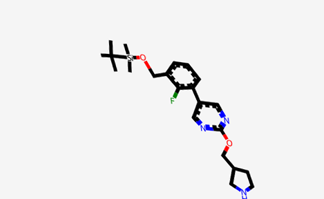 CC(C)(C)[Si](C)(C)OCc1cccc(-c2cnc(OCC3CCNC3)nc2)c1F